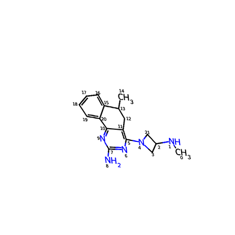 CNC1CN(c2nc(N)nc3c2CC(C)c2ccccc2-3)C1